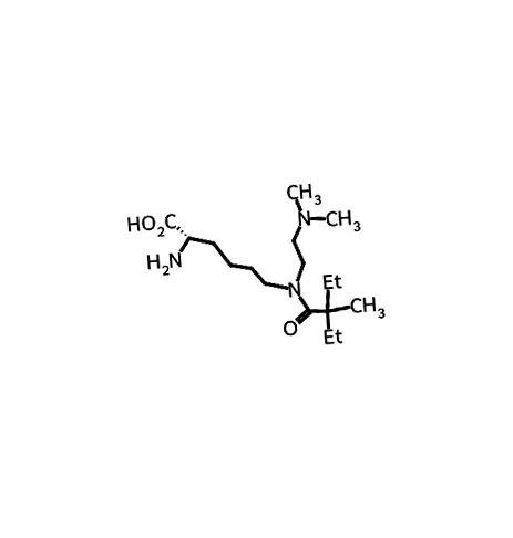 CCC(C)(CC)C(=O)N(CCCC[C@H](N)C(=O)O)CCN(C)C